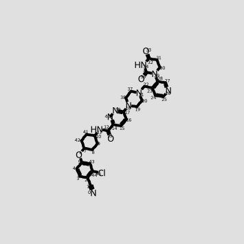 N#Cc1ccc(OC2CCC(NC(=O)c3ccc(N4CCN(Cc5ccncc5N5CCC(=O)NC5=O)CC4)nn3)CC2)cc1Cl